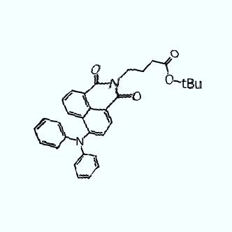 CC(C)(C)OC(=O)CCCN1C(=O)c2cccc3c(N(c4ccccc4)c4ccccc4)ccc(c23)C1=O